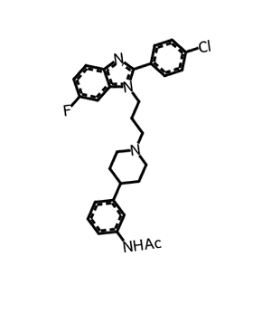 CC(=O)Nc1cccc(C2CCN(CCCn3c(-c4ccc(Cl)cc4)nc4ccc(F)cc43)CC2)c1